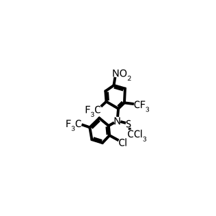 O=[N+]([O-])c1cc(C(F)(F)F)c(N(SC(Cl)(Cl)Cl)c2cc(C(F)(F)F)ccc2Cl)c(C(F)(F)F)c1